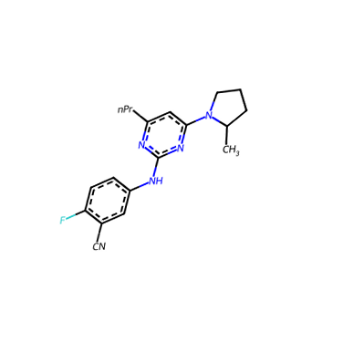 CCCc1cc(N2CCCC2C)nc(Nc2ccc(F)c(C#N)c2)n1